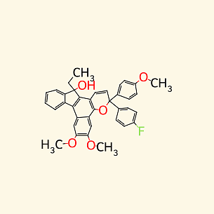 CCC1(O)c2ccccc2-c2c1c1c(c3cc(OC)c(OC)cc23)OC(c2ccc(F)cc2)(c2ccc(OC)cc2)C=C1